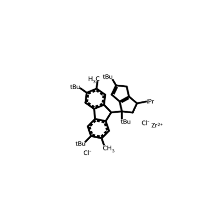 Cc1cc2c(cc1C(C)(C)C)-c1cc(C(C)(C)C)c(C)cc1C2C1(C(C)(C)C)CC(C(C)C)C2=C1C=C(C(C)(C)C)C2.[Cl-].[Cl-].[Zr+2]